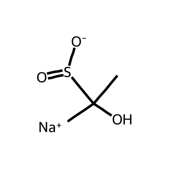 CC(C)(O)S(=O)[O-].[Na+]